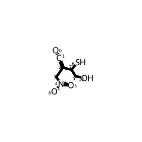 O=C=C(C[N+](=O)[O-])C(S)CO